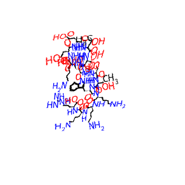 C[C@@H](O)[C@H](NC(=O)[C@H](CO)NC(=O)[C@H](CC(=O)O)NC(=O)[C@H](CCC(=O)O)NC(=O)[C@H](CO)NC(=O)[C@@H](NC(=O)[C@H](CCC(=O)O)NC(=O)[C@H](CC(=O)O)NC(=O)[C@@H](N)CCCCN)[C@@H](C)O)C(=O)N[C@@H](Cc1c[nH]c2ccccc12)C(=O)N[C@@H](CCCCN)C(=O)N[C@@H](CCCCN)C(=O)N[C@@H](CCCCN)C(=O)N[C@@H](CCCNC(=N)N)C(=O)O